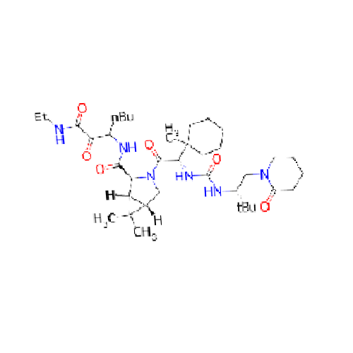 CCCCC(NC(=O)[C@@H]1[C@@H]2[C@H](CN1C(=O)[C@@H](NC(=O)N[C@H](CN1CCCCC1=O)C(C)(C)C)C1(C)CCCCC1)C2(C)C)C(=O)C(=O)NCC